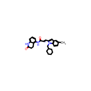 Cc1ccc2c(c1)cc(/C=C/C(=O)Nc1cccc3c1CCC(=O)N3)n2CC1CCCCC1